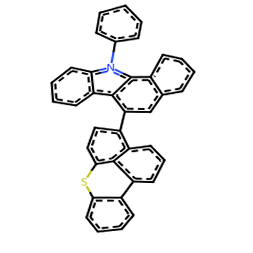 c1ccc(-n2c3ccccc3c3c(-c4ccc5c6c(cccc46)-c4ccccc4S5)cc4ccccc4c32)cc1